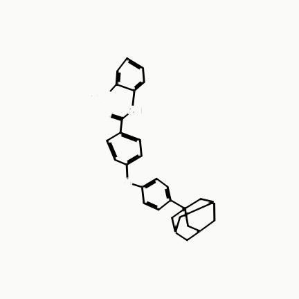 O=C(Nc1ccccc1C(=O)O)c1ccc(Oc2ccc(C34CC5CC(CC(C5)C3)C4)cc2)cc1